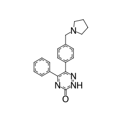 O=c1nc(-c2ccccc2)c(-c2ccc(CN3CCCC3)cc2)n[nH]1